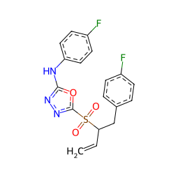 C=CC(Cc1ccc(F)cc1)S(=O)(=O)c1nnc(Nc2ccc(F)cc2)o1